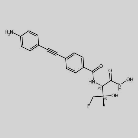 C[C@@](O)(CF)[C@H](NC(=O)c1ccc(C#Cc2ccc(N)cc2)cc1)C(=O)NO